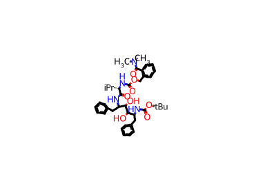 CC(C)[C@H](NC(=O)OCc1ccccc1C(=O)N(C)C)C(=O)NC(Cc1ccccc1)C(O)C(O)C(Cc1ccccc1)NC(=O)OC(C)(C)C